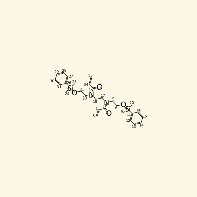 C=CC(=O)N(CCO[Si](C)(C)c1ccccc1)CCN(CCO[Si](C)(C)c1ccccc1)C(=O)C=C